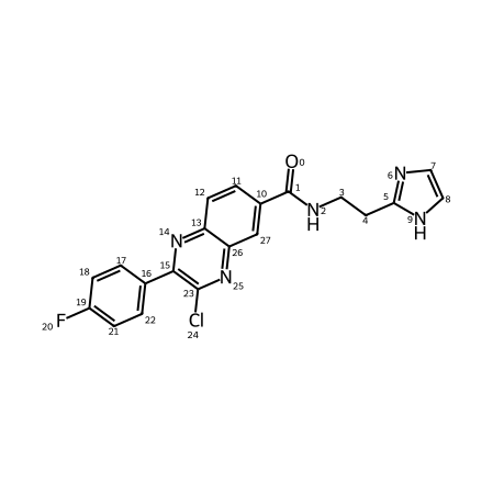 O=C(NCCc1ncc[nH]1)c1ccc2nc(-c3ccc(F)cc3)c(Cl)nc2c1